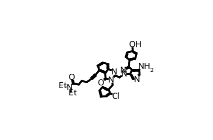 CCN(CC)C(=O)CCCC#Cc1cccc2nc(Cn3nc(-c4ccc(O)cc4)c4c(N)cncc43)n(Cc3ccccc3Cl)c(=O)c12